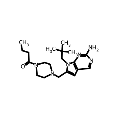 CCCC(=O)N1CCN(Cc2cc3cnc(N)nc3n2CC(C)(C)C)CC1